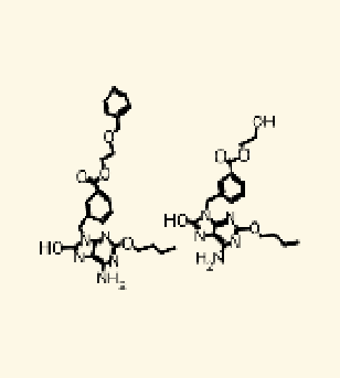 CCCCOc1nc(N)c2nc(O)n(Cc3cccc(C(=O)OCCO)c3)c2n1.CCCCOc1nc(N)c2nc(O)n(Cc3cccc(C(=O)OCCOCc4ccccc4)c3)c2n1